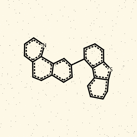 c1cnc2c(c1)ccc1ccc(-c3cccc4sc5ccccc5c34)cc12